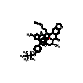 Cc1c(C(=O)N(c2ccc(O[Si](C)(C)C(C)(C)C)cc2)c2cnn(C)c2)cc(-c2cc3c(cc2C(=O)N2Cc4ccccc4C[C@H]2C)OCO3)n1CCN=[N+]=[N-]